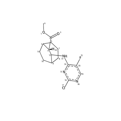 COC(=O)[C@H]1C2CCCC(CC2)C1Nc1nc(Cl)ncc1F